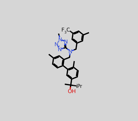 Cc1cc(CN(Cc2cc(C)ccc2-c2cc(C(C)(O)C(C)C)ccc2C)c2nnn(C)n2)cc(C(F)(F)F)c1